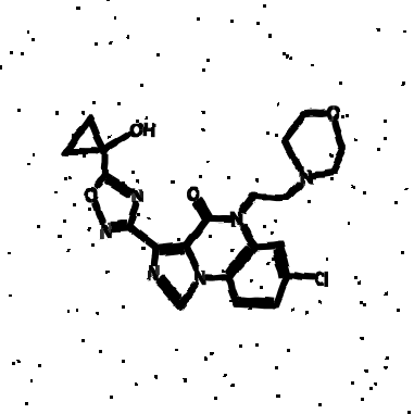 O=c1c2c(-c3noc(C4(O)CC4)n3)ncn2c2ccc(Cl)cc2n1CCN1CCOCC1